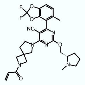 C=CC(=O)N1CC2(CCN(c3nc(OC[C@@H]4CCCN4C)nc(-c4c(C)ccc5c4OC(F)(F)O5)c3C#N)C2)C1